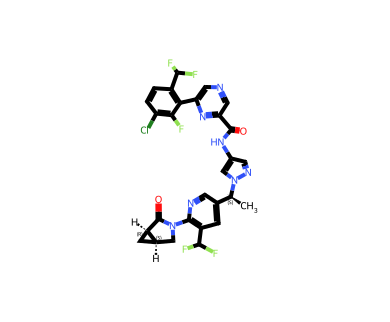 C[C@@H](c1cnc(N2C[C@H]3C[C@H]3C2=O)c(C(F)F)c1)n1cc(NC(=O)c2cncc(-c3c(C(F)F)ccc(Cl)c3F)n2)cn1